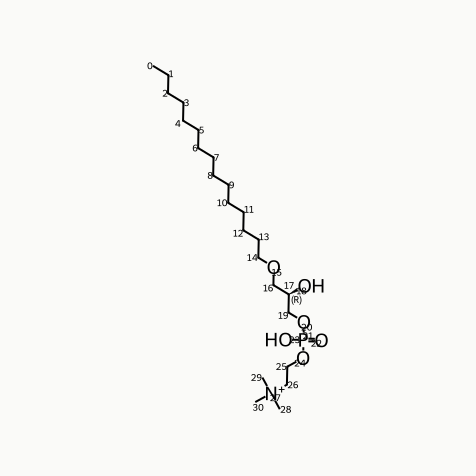 CCCCCCCCCCCCCCCOC[C@@H](O)COP(=O)(O)OCC[N+](C)(C)C